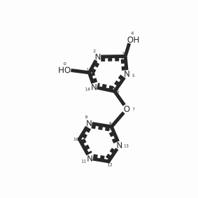 Oc1nc(O)nc(Oc2ncncn2)n1